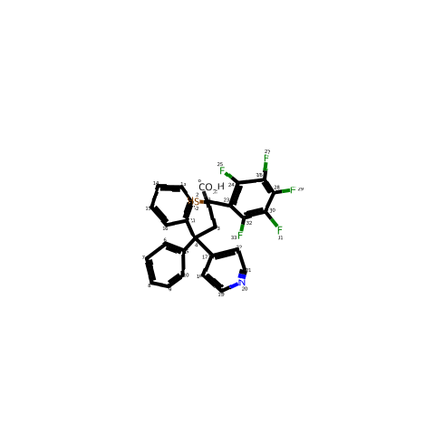 O=C(O)C(S)(CC(c1ccccc1)(c1ccccc1)c1ccncc1)c1c(F)c(F)c(F)c(F)c1F